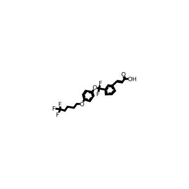 O=C(O)/C=C/c1cccc(C(F)(F)Oc2ccc(OCCCCC(F)(F)F)cc2)c1